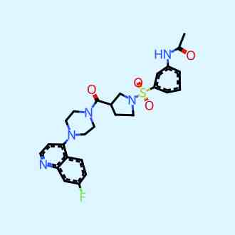 CC(=O)Nc1cccc(S(=O)(=O)N2CCC(C(=O)N3CCN(c4ccnc5cc(F)ccc45)CC3)C2)c1